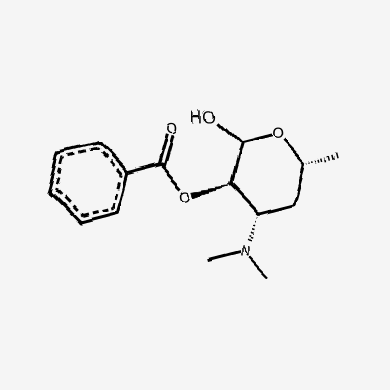 C[C@@H]1C[C@H](N(C)C)[C@@H](OC(=O)c2ccccc2)C(O)O1